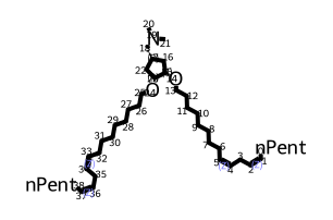 CCCCC/C=C\C/C=C\CCCCCCCCO[C@H]1C[C@@H](CN(C)C)C[C@H]1OCCCCCCCC/C=C\C/C=C\CCCCC